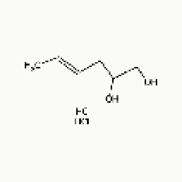 CC=CCC(O)CO.Cl.Cl